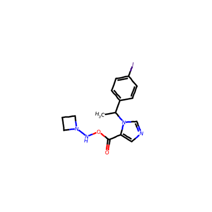 CC(c1ccc(I)cc1)n1cncc1C(=O)ONN1CCC1